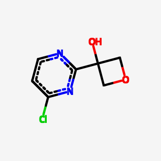 OC1(c2nccc(Cl)n2)COC1